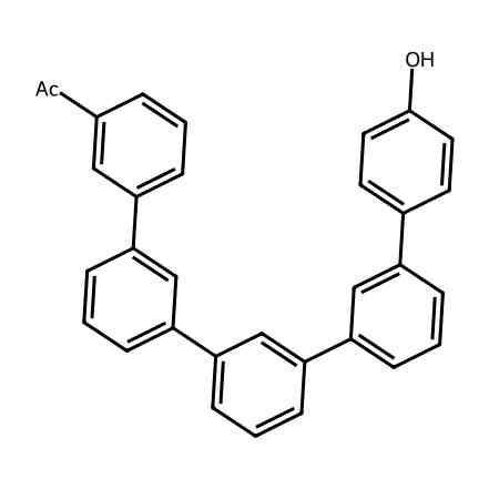 CC(=O)c1cccc(-c2cccc(-c3cccc(-c4cccc(-c5ccc(O)cc5)c4)c3)c2)c1